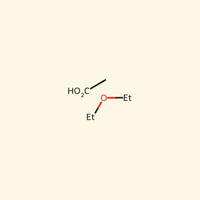 CC(=O)O.[CH2]COCC